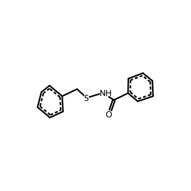 O=C(NSCc1ccccc1)c1ccccc1